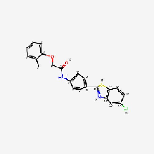 Cc1ccccc1OCC(=O)Nc1ccc(-c2nc3cc(Cl)ccc3s2)cc1